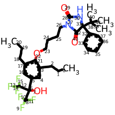 CCCc1cc(C(O)(C(F)(F)F)C(F)(F)F)cc(CCC)c1OCCCCN1C(=O)NC(c2ccccc2)(C(C)(C)C)C1=O